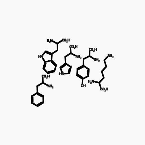 NC(Cc1c[nH]c2ccccc12)C(=O)O.NC(Cc1c[nH]cn1)C(=O)O.NC(Cc1ccc(O)cc1)C(=O)O.NC(Cc1ccccc1)C(=O)O.NCCCCC(N)C(=O)O